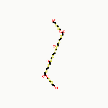 O=C(CSCCSCC[S+]([O-])CSCCSCSC(=O)CSCCSCC(=O)OCSCSCCO)OCSCSCCO